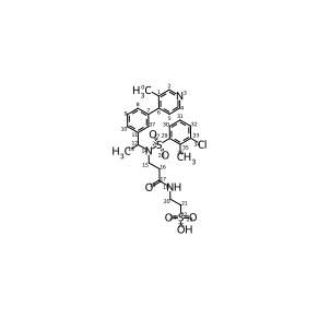 Cc1cnccc1-c1cccc(C(C)N(CCC(=O)NCCS(=O)(=O)O)S(=O)(=O)c2cccc(Cl)c2C)c1